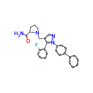 NC(=O)C1CCCN1Cc1cnn(-c2ccc(-c3ccccc3)cc2)c1-c1ccccc1F